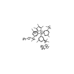 CC(C)[O-].CC(C)[O-].CC(C)[O-].CC1=C(C)C(C)([Si](c2cc(C)cc([Si](C)(C)C)c2)(c2cc(C)cc([Si](C)(C)C)c2)c2cc(C)cc([Si](C)(C)C)c2)[C]([Ti+3])=C1C